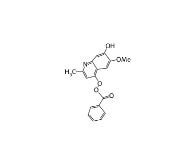 COc1cc2c(OOC(=O)c3ccccc3)cc(C)nc2cc1O